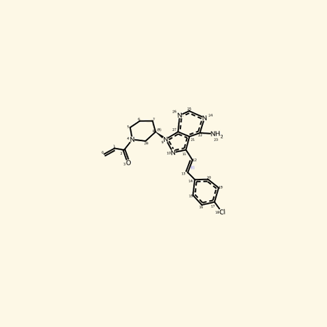 C=CC(=O)N1CCC[C@@H](n2nc(/C=C/c3ccc(Cl)cc3)c3c(N)ncnc32)C1